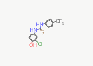 Oc1ccc(NC(=S)Nc2ccc(C(F)(F)F)cc2)cc1Cl